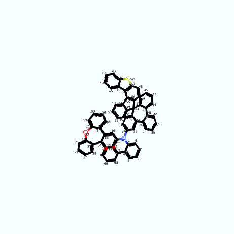 c1ccc(-c2ccccc2N(c2ccc3c(c2)-c2ccccc2Oc2ccccc2-3)c2ccc3c(c2)-c2ccccc2-c2ccccc2C32c3ccccc3-c3c2ccc2sc4ccccc4c32)cc1